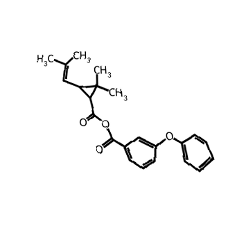 CC(C)=CC1C(C(=O)OC(=O)c2cccc(Oc3ccccc3)c2)C1(C)C